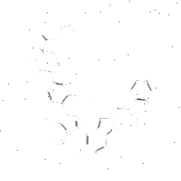 CCOC(=O)C1(C)CCC(c2ccc(-n3nc(-c4cccc5nn(C[C@H](O)c6ccccc6)cc45)c(C(C)C)c3C)c(C)n2)CC1